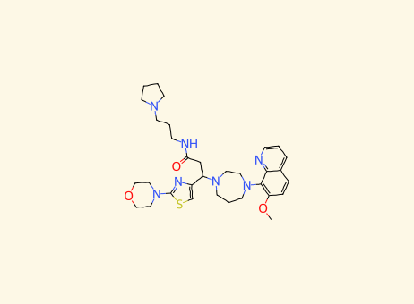 COc1ccc2cccnc2c1N1CCCN(C(CC(=O)NCCCN2CCCC2)c2csc(N3CCOCC3)n2)CC1